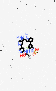 CCCCC(O)Nc1cncc(-c2cc3c(-c4cc5c(-c6cc(F)cc(CNS(C)(=O)=O)c6)cccc5[nH]4)n[nH]c3cn2)c1